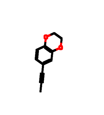 CC#Cc1ccc2c(c1)OCCO2